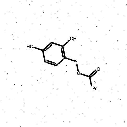 CC(C)C(=O)OSc1ccc(O)cc1O